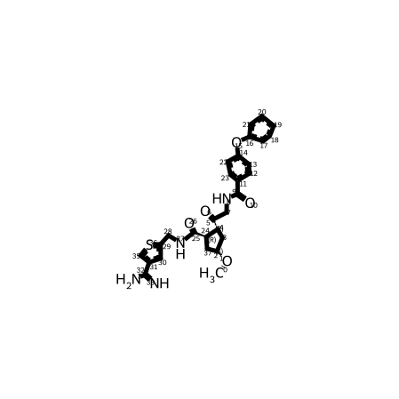 CO[C@H]1C[C@@H](C(=O)CNC(=O)c2ccc(Oc3ccccc3)cc2)[C@H](C(=O)NCc2cc(C(=N)N)cs2)C1